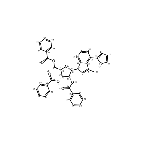 O=C(OC[C@H]1O[C@@H](n2cc(F)c3c(-c4ccco4)ncnc32)[C@H](OC(=O)c2ccccc2)[C@@H]1OC(=O)c1ccccc1)c1ccccc1